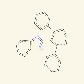 c1ccc(-c2cccc(-c3ccccc3)c2-c2nc3ccccc3[nH]2)cc1